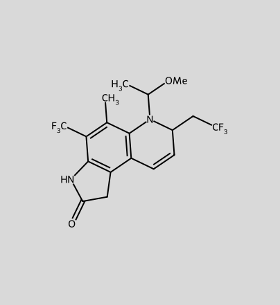 COC(C)N1c2c(C)c(C(F)(F)F)c3c(c2C=CC1CC(F)(F)F)CC(=O)N3